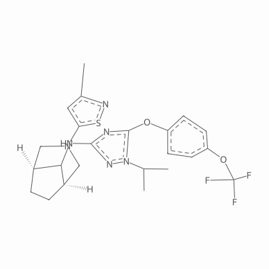 Cc1cc(N2C[C@H]3CC[C@@H](C2)C3Nc2nc(Oc3ccc(OC(F)(F)F)cc3)n(C(C)C)n2)sn1